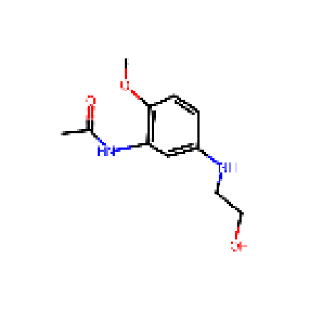 COc1ccc(NCCO)cc1NC(C)=O